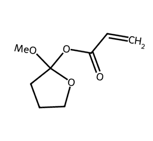 C=CC(=O)OC1(OC)CCCO1